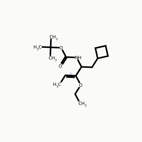 C/C=C(\OCC)C(CC1CCC1)NC(=O)OC(C)(C)C